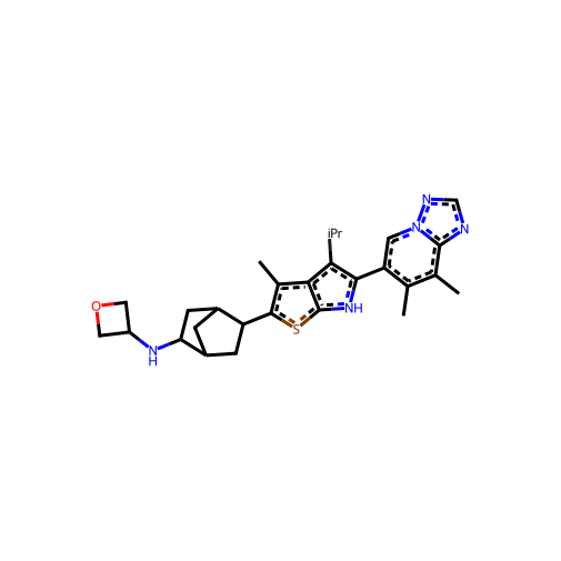 Cc1c(-c2[nH]c3sc(C4CC5CC4CC5NC4COC4)c(C)c3c2C(C)C)cn2ncnc2c1C